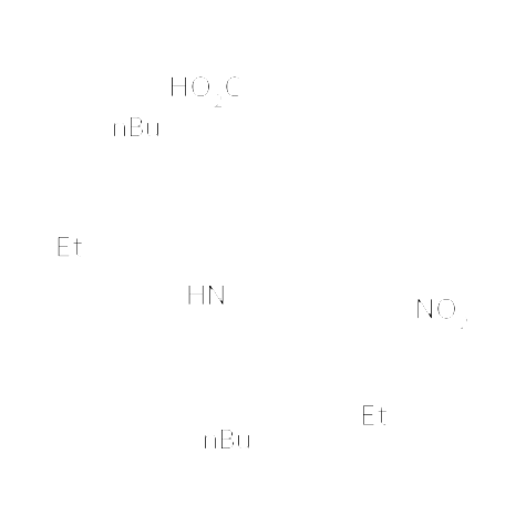 CCCCC(CC)CNCC(CC)CCCC.O=C(O)c1ccc([N+](=O)[O-])cc1